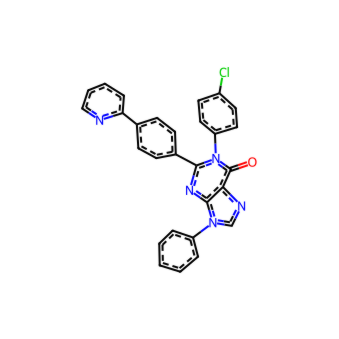 O=c1c2ncn(-c3ccccc3)c2nc(-c2ccc(-c3ccccn3)cc2)n1-c1ccc(Cl)cc1